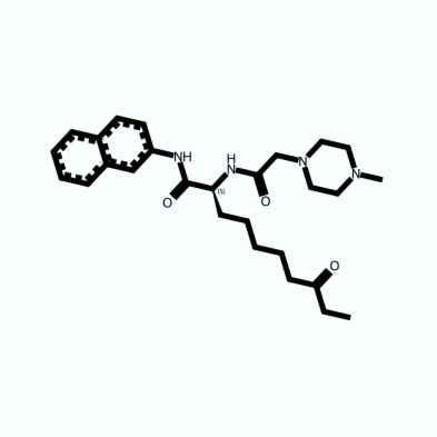 CCC(=O)CCCCC[C@H](NC(=O)CN1CCN(C)CC1)C(=O)Nc1ccc2ccccc2c1